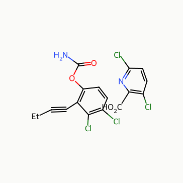 CCC#Cc1c(OC(N)=O)ccc(Cl)c1Cl.O=C(O)c1nc(Cl)ccc1Cl